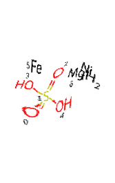 O=S(=O)(O)O.[Fe].[MgH2].[Ni]